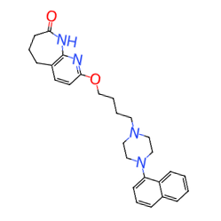 O=C1CCCc2ccc(OCCCCN3CCN(c4cccc5ccccc45)CC3)nc2N1